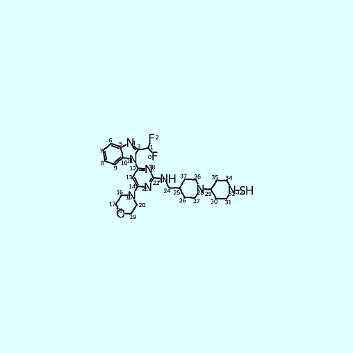 FC(F)c1nc2ccccc2n1-c1cc(N2CCOCC2)nc(NCC2CCN(C3CCN(S)CC3)CC2)n1